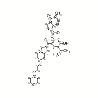 CC(C)c1cc(C(=O)N2Cc3ccc(OCCCN4CCOCC4)cc3C2)c(OC(=O)c2ncn3c(=O)n(C)nnc23)cc1O